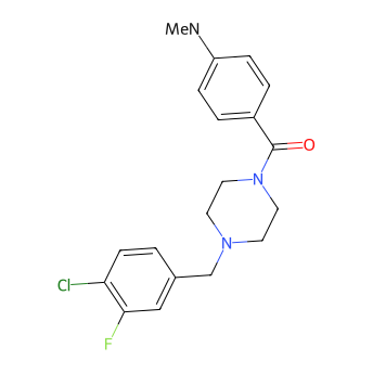 CNc1ccc(C(=O)N2CCN(Cc3ccc(Cl)c(F)c3)CC2)cc1